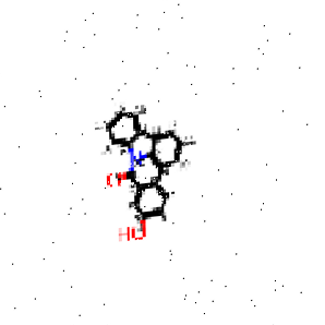 O=c1c2cc(O)ccc2c2cccc3c4ccccc4n1c23